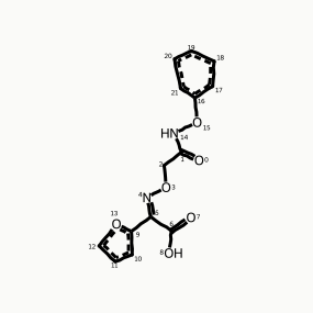 O=C(CON=C(C(=O)O)c1ccco1)NOc1ccccc1